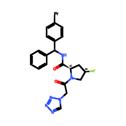 CC(C)c1ccc(C(NC(=O)[C@@H]2C[C@@H](F)CN2C(=O)Cn2cnnn2)c2ccccc2)cc1